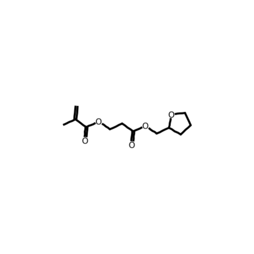 C=C(C)C(=O)OCCC(=O)OCC1CCCO1